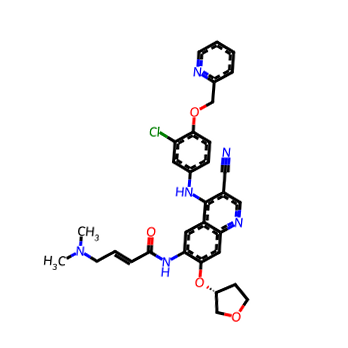 CN(C)C/C=C/C(=O)Nc1cc2c(Nc3ccc(OCc4ccccn4)c(Cl)c3)c(C#N)cnc2cc1O[C@@H]1CCOC1